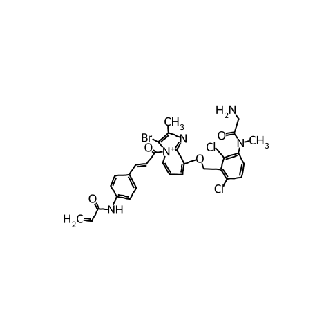 C=CC(=O)Nc1ccc(C=CC(=O)[N+]23C=CC=C(OCc4c(Cl)ccc(N(C)C(=O)CN)c4Cl)C2=NC(C)=C3Br)cc1